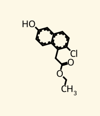 CCOC(=O)Cc1c(Cl)ccc2cc(O)ccc12